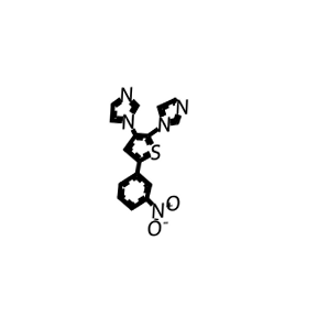 O=[N+]([O-])c1cccc(-c2cc(-n3ccnc3)c(-n3ccnc3)s2)c1